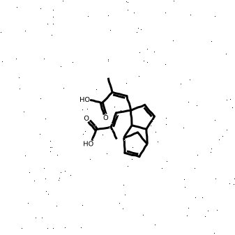 CC(=CC1(C=C(C)C(=O)O)C=CC2C3C=CC(C3)C21)C(=O)O